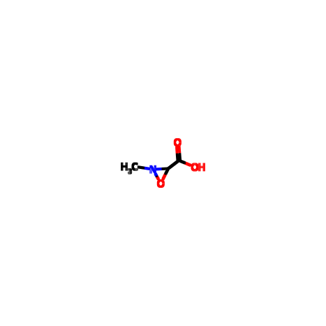 CN1OC1C(=O)O